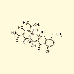 CCc1ccc(O)c2c1C[C@@]1(O)C[C@@]3(O)[C@@H](N(C)C)C(O)=C(C(N)=O)C(=O)[C@@]3(O)C(O)=C1C2=O